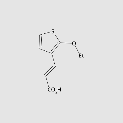 CCOc1sccc1C=CC(=O)O